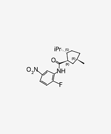 CC(C)[C@@H]1CC[C@@H](C)C[C@H]1C(=O)Nc1cc([N+](=O)[O-])ccc1F